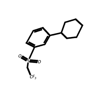 O=S(=O)(CC(F)(F)F)c1cccc(C2CCCCC2)c1